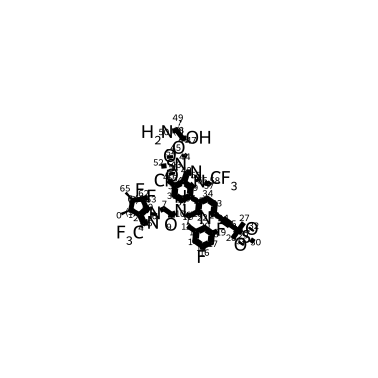 C[C@@H]1c2c(C(F)(F)F)nn(CC(=O)N[C@@H](Cc3cc(F)cc(F)c3)c3nc(C#CC(C)(C)S(C)(=O)=O)ccc3-c3ccc(Cl)c4c(N(COC(O)[C@@H](C)N)S(C)(=O)=O)nn(CC(F)(F)F)c34)c2C(F)(F)[C@@H]1C